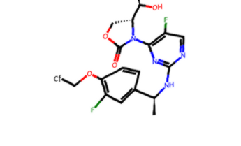 C[C@H](Nc1ncc(F)c(N2C(=O)OC[C@@H]2[C@@H](C)O)n1)c1ccc(O[CH2][Cf])c(F)c1